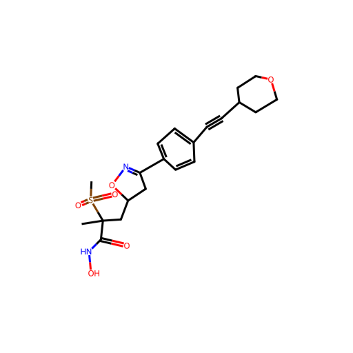 CC(CC1CC(c2ccc(C#CC3CCOCC3)cc2)=NO1)(C(=O)NO)S(C)(=O)=O